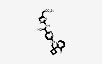 CCOC(=O)Cc1csc(NC(O)c2ccc(NCC3(c4ncccc4F)CCC3)nn2)n1